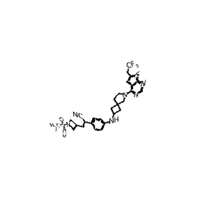 CS(=O)(=O)N1CC(CC(C#N)c2ccc(NC3CC4(CCN(c5ncnc6sc(CC(F)(F)F)cc56)C4)C3)cc2)C1